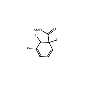 COC(=O)C1(F)C=CC=C(F)C1F